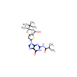 CC(C)C(=O)Nc1nc2c(ncn2[C@H]2[CH][C@H](O[Si](C)(C)C(C)(C)C)[C@@H](CO)S2)c(=O)[nH]1